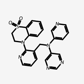 O=S1(=O)CCN(c2ncccc2CN(c2cccnc2)c2cncnc2)c2ccccc21